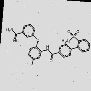 N=C(N)c1cccc(Oc2ccc(F)cc2NC(=O)c2ccc(-c3ccccc3S(=O)(=O)[AsH2])cc2)c1